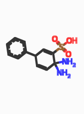 NC1(N)C=CC(c2ccccc2)C=C1S(=O)(=O)O